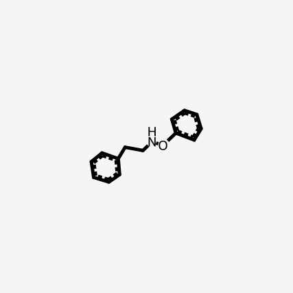 c1ccc(CCNOc2ccccc2)cc1